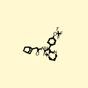 O=C(CC1CC2CCC1C2)Nc1nn2cccnc2c1-c1ccc(OC(F)(F)F)cc1